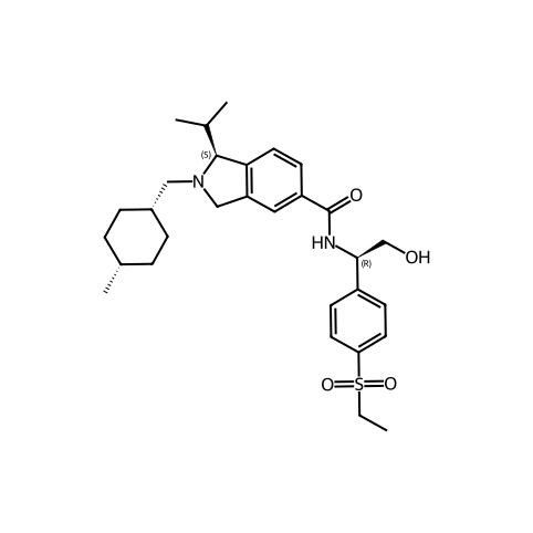 CCS(=O)(=O)c1ccc([C@H](CO)NC(=O)c2ccc3c(c2)CN(C[C@H]2CC[C@@H](C)CC2)[C@H]3C(C)C)cc1